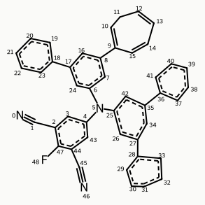 N#Cc1cc(N(c2cc(C3=CCC=CC=C3)cc(-c3ccccc3)c2)c2cc(-c3ccccc3)cc(-c3ccccc3)c2)cc(C#N)c1F